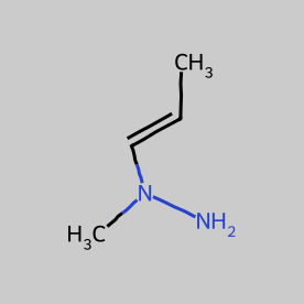 CC=CN(C)N